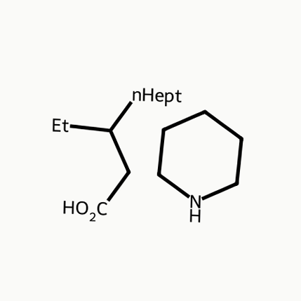 C1CCNCC1.CCCCCCCC(CC)CC(=O)O